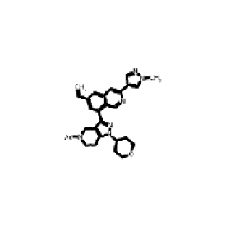 C=Cc1cc(-c2nn(C3CCOCC3)c3c2CN(C(C)=O)CC3)c2cnc(-c3cnn(C)c3)cc2c1